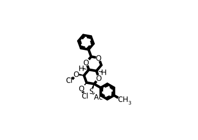 CC(=O)S[C@]1(c2ccc(C)cc2)O[C@@H]2COC(c3ccccc3)O[C@@H]2[C@H](OCl)[C@H]1OCl